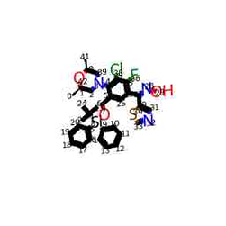 C[C@@H]1CN(c2c(CO[Si](c3ccccc3)(c3ccccc3)C(C)(C)C)cc(/C(=N/O)c3cncs3)c(F)c2Cl)C[C@H](C)O1